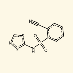 N#Cc1ccccc1S(=O)(=O)Nc1nncs1